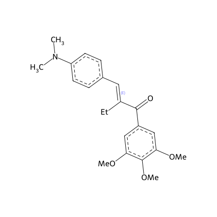 CC/C(=C\c1ccc(N(C)C)cc1)C(=O)c1cc(OC)c(OC)c(OC)c1